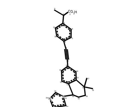 CC(C(=O)O)c1ccc(C#Cc2ccc3c(c2)C(C)(C)CCC3n2ccnc2)cc1